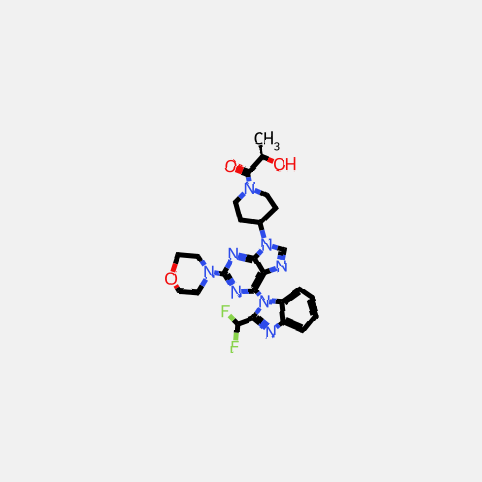 C[C@@H](O)C(=O)N1CCC(n2cnc3c(-n4c(C(F)F)nc5ccccc54)nc(N4CCOCC4)nc32)CC1